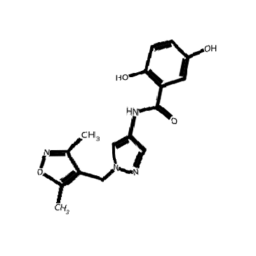 Cc1noc(C)c1Cn1cc(NC(=O)c2cc(O)ccc2O)cn1